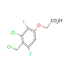 CCOC(=O)COc1cc(F)c(CCl)c(Cl)c1F